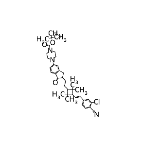 CC(C)(C)OC(=O)N1CCN(c2ccc3c(c2)CC(CCC2C(C)(C)C(/C=C/c4ccc(C#N)c(Cl)c4)C2(C)C)C3=O)CC1